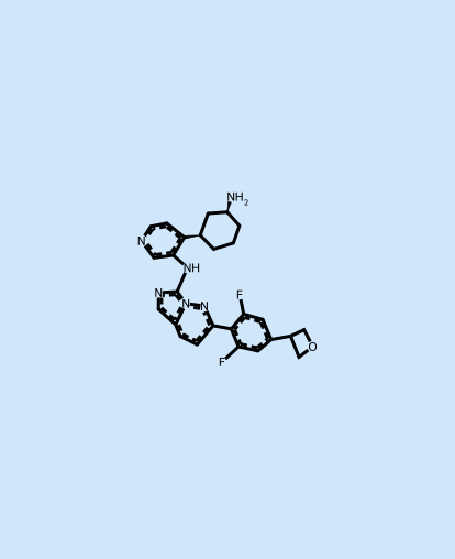 N[C@H]1CCC[C@@H](c2ccncc2Nc2ncc3ccc(-c4c(F)cc(C5COC5)cc4F)nn23)C1